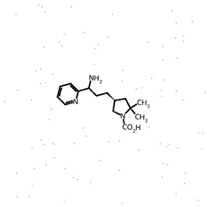 CC1(C)C[C@H](CCC(N)c2ccccn2)CN1C(=O)O